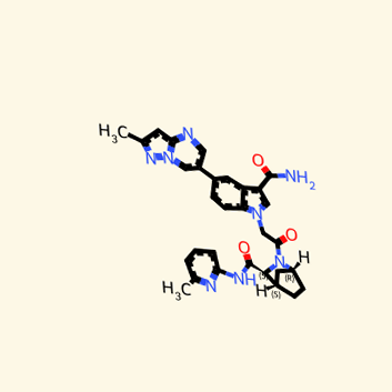 Cc1cccc(NC(=O)[C@@H]2[C@H]3CC[C@H](C3)N2C(=O)Cn2cc(C(N)=O)c3cc(-c4cnc5cc(C)nn5c4)ccc32)n1